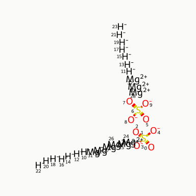 O=S(=O)([O-])[O-].O=S(=O)([O-])[O-].[H-].[H-].[H-].[H-].[H-].[H-].[H-].[H-].[H-].[H-].[H-].[H-].[H-].[H-].[Mg+2].[Mg+2].[Mg+2].[Mg+2].[Mg+2].[Mg+2].[Mg+2].[Mg+2].[Mg+2]